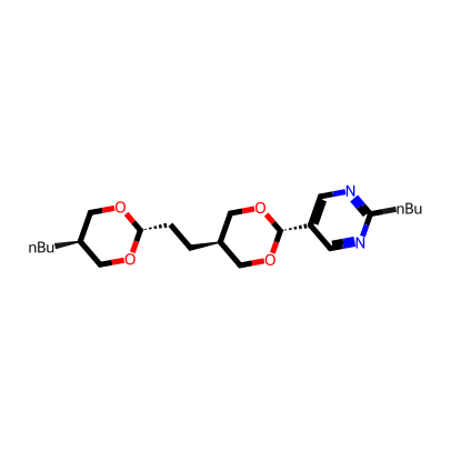 CCCCc1ncc([C@H]2OC[C@H](CC[C@H]3OC[C@H](CCCC)CO3)CO2)cn1